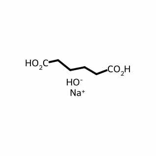 O=C(O)CCCCC(=O)O.[Na+].[OH-]